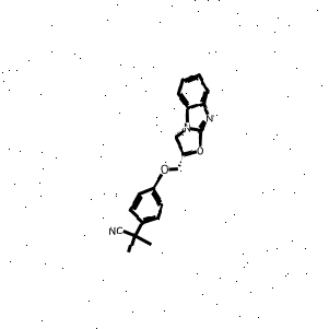 CC(C)(C#N)c1ccc(OC[C@@H]2Cn3c(nc4ccccc43)O2)cc1